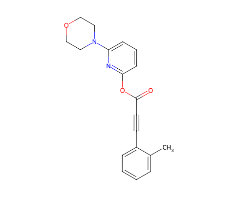 Cc1ccccc1C#CC(=O)Oc1cccc(N2CCOCC2)n1